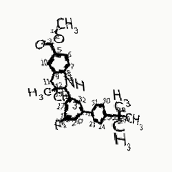 CCOC(=O)c1ccc2c(c1)CC(C)(C)C(c1cc(F)cc(-c3ccc(C(C)(C)C)cc3)c1)N2